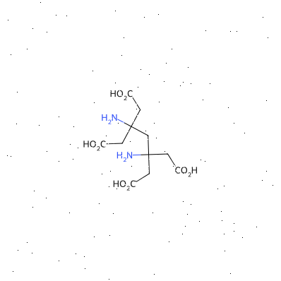 NC(CC(=O)O)(CC(=O)O)CC(N)(CC(=O)O)CC(=O)O